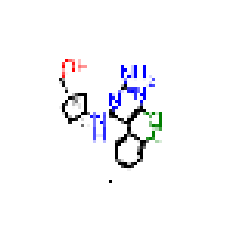 Nc1nc(Cl)c(-c2ccccc2Cl)c(N[C@H]2CC[C@@H](CO)C2)n1